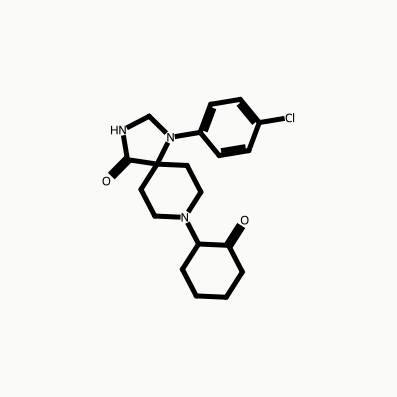 O=C1CCCCC1N1CCC2(CC1)C(=O)NCN2c1ccc(Cl)cc1